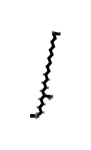 CCCCCCCCCCCCCCCCCCCCCCCCC(O)CCCCC(=O)O